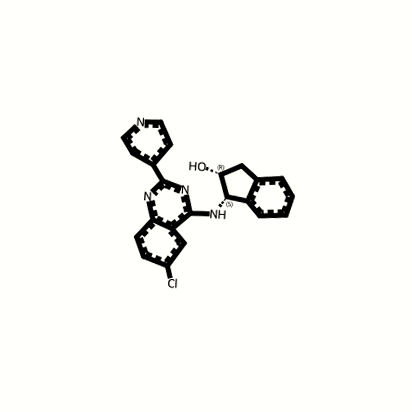 O[C@@H]1Cc2ccccc2[C@@H]1Nc1nc(-c2ccncc2)nc2ccc(Cl)cc12